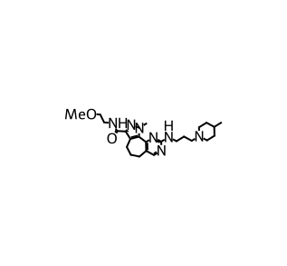 COCCNC(=O)c1nn(C)c2c1CCCc1cnc(NCCCN3CCC(C)CC3)nc1-2